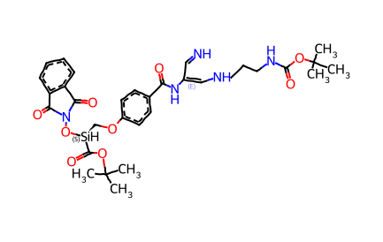 CC(C)(C)OC(=O)NCCCN/C=C(\C=N)NC(=O)c1ccc(OC[Si@H](ON2C(=O)c3ccccc3C2=O)C(=O)OC(C)(C)C)cc1